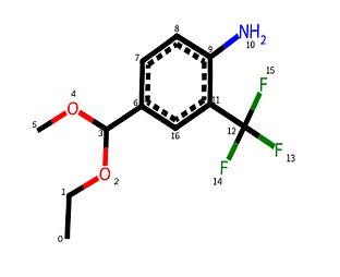 CCOC(OC)c1ccc(N)c(C(F)(F)F)c1